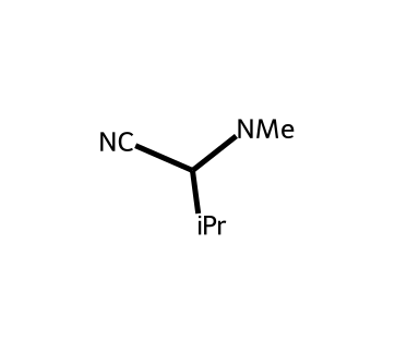 CNC(C#N)C(C)C